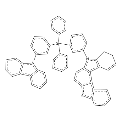 C1=Cc2c(n(-c3cccc([Si](c4ccccc4)(c4ccccc4)c4cccc(-n5c6ccccc6c6ccccc65)c4)c3)c3ccc4sc5ccccc5c4c23)CC1